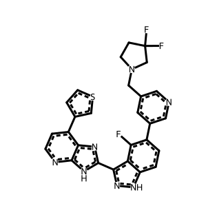 Fc1c(-c2cncc(CN3CCC(F)(F)C3)c2)ccc2[nH]nc(-c3nc4c(-c5ccsc5)ccnc4[nH]3)c12